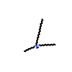 CCCCCCCCCCCCCCCCCCCC1N(CCCCCCCCC)C=CN1CCCCCCCCCCCC